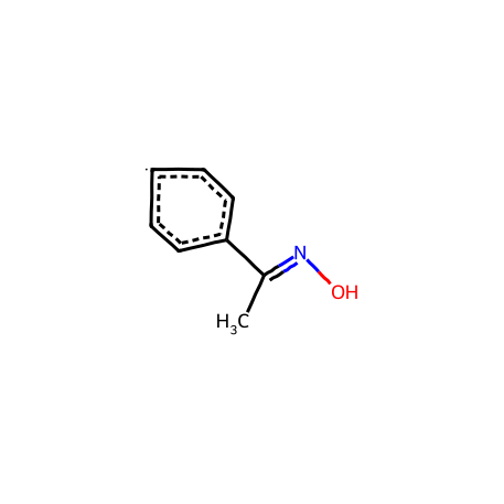 CC(=NO)c1cc[c]cc1